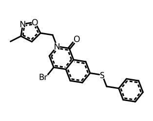 Cc1cc(Cn2cc(Br)c3ccc(SCc4ccccc4)cc3c2=O)on1